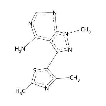 Cc1nc(C)c(-c2nn(C)c3ncnc(N)c23)s1